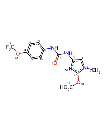 Cn1cc(NC(=O)Nc2ccc(OC(F)(F)F)cc2)nc1OC(=O)O